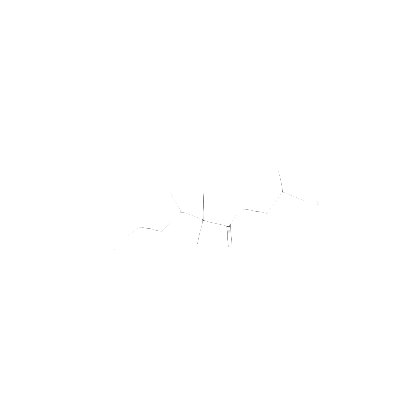 CCCCC(CC)COC(=O)C(C)(C)C(C)CCC(=O)O